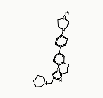 CC(C)N1CCN(c2ccc(-c3ccc4c(c3)OCc3nc(CN5CCSCC5)cn3-4)cc2)CC1